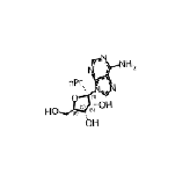 CCC[C@@]1(n2cnc3c(N)ncnc32)O[C@H](CO)[C@@H](O)[C@H]1O